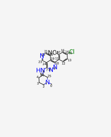 CN1CCC[C@@H](Nc2nnc(-c3ccc(Cl)cc3C#N)c3ccncc23)C1